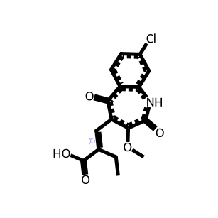 CC/C(=C\c1c(OC)c(=O)[nH]c2cc(Cl)ccc2c1=O)C(=O)O